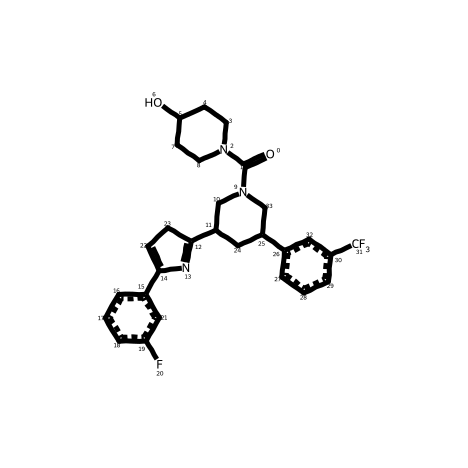 O=C(N1CCC(O)CC1)N1CC(C2=NC(c3cccc(F)c3)=CC2)CC(c2cccc(C(F)(F)F)c2)C1